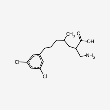 CC(CCCc1cc(Cl)cc(Cl)c1)CC(CN)C(=O)O